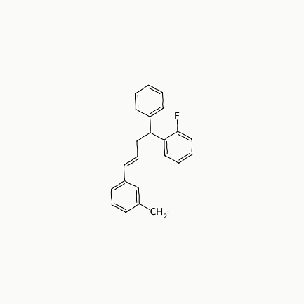 [CH2]c1cccc(C=CCC(c2ccccc2)c2ccccc2F)c1